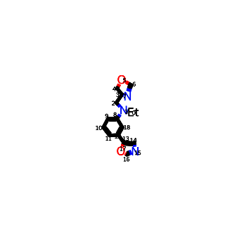 CCN(CC1CO[C]=N1)c1cccc(-c2cnco2)c1